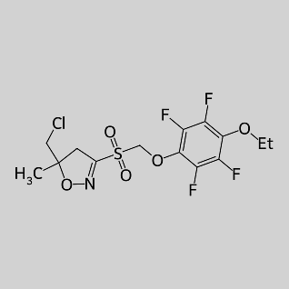 CCOc1c(F)c(F)c(OCS(=O)(=O)C2=NOC(C)(CCl)C2)c(F)c1F